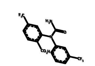 NC(=O)N(c1cccc(C(F)(F)F)c1)c1cc(C(F)(F)F)ccc1C(=O)O